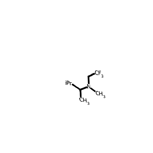 CC(C)C(C)N(C)CC(F)(F)F